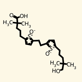 CC(C)(CO)CCCc1ccc(CCc2ccc(CCCC(C)(C)C(=O)O)[s+]2[O-])[s+]1[O-]